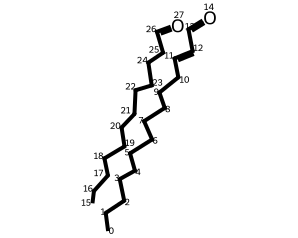 CCCCCCCCCCCC=CC=O.CCCCCCCCCCCC=O